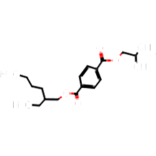 CCCCC(CC)COC(=O)c1ccc(C(=O)OCC(C)C)cc1